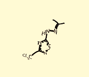 CC(C)=NNc1nc(C(Cl)(Cl)Cl)ns1